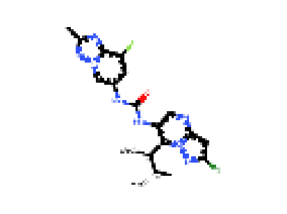 CO[C@@H](C)[C@@H](OC)c1c(NC(=O)Nc2cc(F)c3nc(C)nn3c2)cnc2cc(Cl)nn12